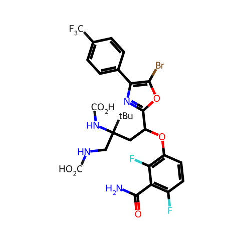 CC(C)(C)C(CNC(=O)O)(CC(Oc1ccc(F)c(C(N)=O)c1F)c1nc(-c2ccc(C(F)(F)F)cc2)c(Br)o1)NC(=O)O